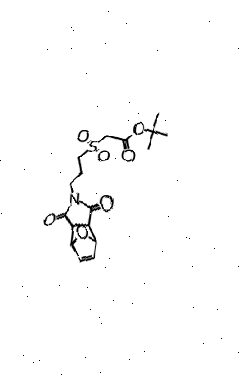 CC(C)(C)OC(=O)CS(=O)(=O)CCCN1C(=O)C2C3C=CC(O3)C2C1=O